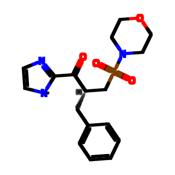 O=C(C1=NC=C[N]1)[C@@H](Cc1ccccc1)CS(=O)(=O)N1CCOCC1